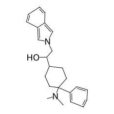 CN(C)C1(c2ccccc2)CCC(C(O)Cn2cc3ccccc3c2)CC1